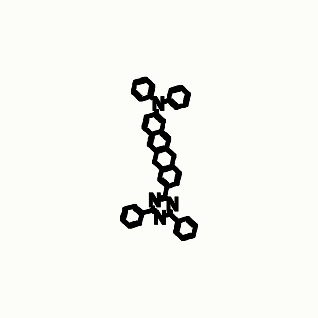 c1ccc(-c2nc(-c3ccccc3)nc(-c3ccc4c(c3)Cc3cc5ccc(N(c6ccccc6)c6ccccc6)cc5cc3C4)n2)cc1